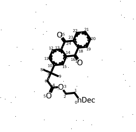 CCCCCCCCCCCCOC(=O)CC(C)(C)c1ccc2c(c1)C(=O)c1ccccc1C2=O